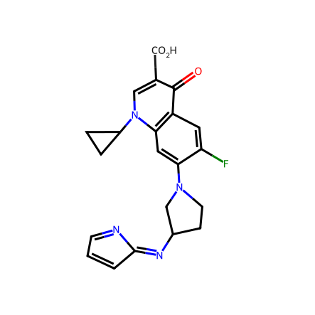 O=C(O)c1cn(C2CC2)c2cc(N3CCC(N=C4C=CC=N4)C3)c(F)cc2c1=O